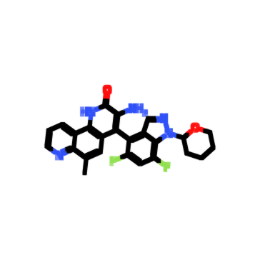 Cc1cc2c(-c3c(F)cc(F)c4c3cnn4C3CCCCO3)c(N)c(=O)[nH]c2c2cccnc12